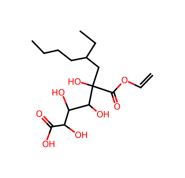 C=COC(=O)C(O)(CC(CC)CCCC)C(O)C(O)C(O)C(=O)O